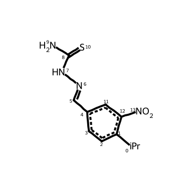 CC(C)c1ccc(C=NNC(N)=S)cc1[N+](=O)[O-]